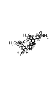 CCOP(=O)(Cc1ccc(Nc2ncc(C(F)(F)F)c(Nc3ccc(C4=CCN(C(N)=O)CC4)c4c3C(=O)N(C)C4)n2)c(OC)c1)OCC